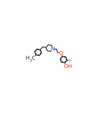 Cc1ccc(CC2CCN(CCOc3ccc(O)c(F)c3)CC2)cc1